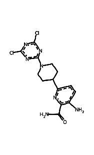 NC(=O)c1nc(C2CCN(c3nc(Cl)nc(Cl)n3)CC2)ccc1N